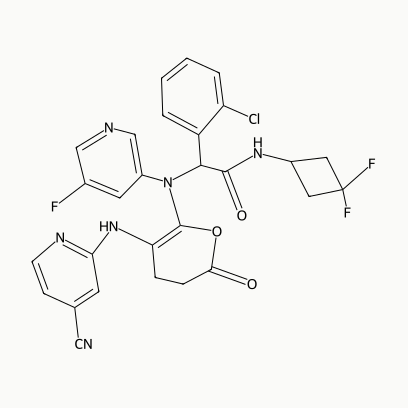 N#Cc1ccnc(NC2=C(N(c3cncc(F)c3)C(C(=O)NC3CC(F)(F)C3)c3ccccc3Cl)OC(=O)CC2)c1